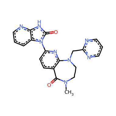 CN1CCN(Cc2ncccn2)c2nc(-n3c(=O)[nH]c4ncccc43)ccc2C1=O